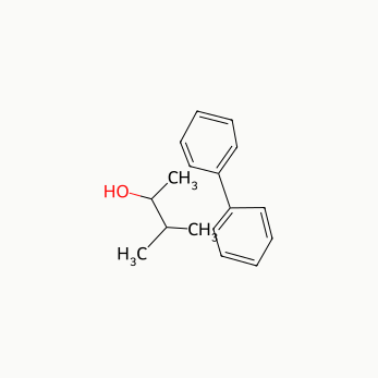 CC(C)C(C)O.c1ccc(-c2ccccc2)cc1